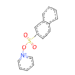 O=S(=O)(O[n+]1ccccc1)c1ccc2ccccc2c1